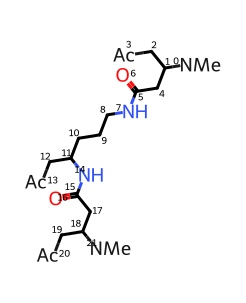 CNC(CC(C)=O)CC(=O)NCCCC(CC(C)=O)NC(=O)CC(CC(C)=O)NC